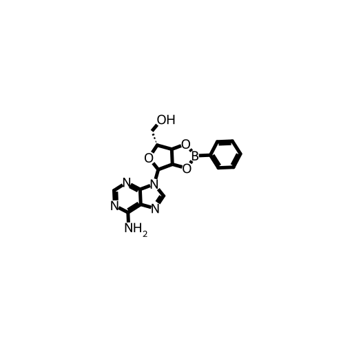 Nc1ncnc2c1ncn2C1O[C@H](CO)C2OB(c3ccccc3)OC21